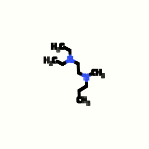 CCCN(C)CCN(CC)CC